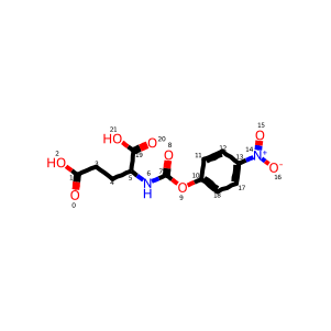 O=C(O)CCC(NC(=O)Oc1ccc([N+](=O)[O-])cc1)C(=O)O